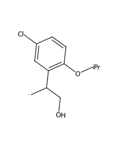 [CH2]C(CO)c1cc(Cl)ccc1OC(C)C